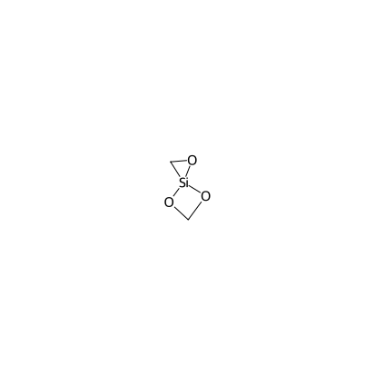 C1O[Si]2(CO2)O1